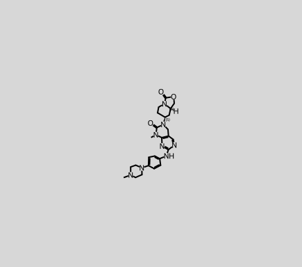 CN1CCN(c2ccc(Nc3ncc4c(n3)N(C)C(=O)N([C@H]3CCN5C(=O)OC[C@H]5C3)C4)cc2)CC1